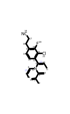 C=C(C)C(=C)N(/C=C\C)/C(=C\C)c1ccc(CCC#N)c(F)c1Cl